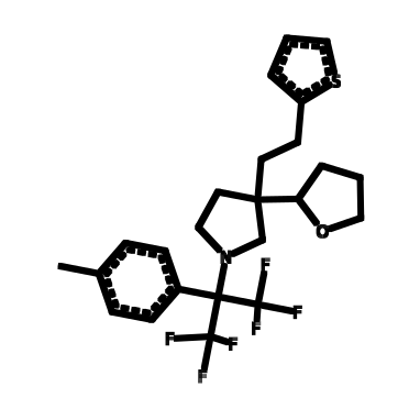 Cc1ccc(C(N2CCC(CCc3cccs3)(C3CCCO3)C2)(C(F)(F)F)C(F)(F)F)cc1